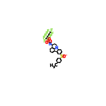 Cc1ccc([S+]([O-])c2ccc3c(c2)c2cccc4c2n3CC/C4=N\OS(=O)(=O)C(F)(F)C(F)(F)C(F)(F)C(F)(F)F)cc1